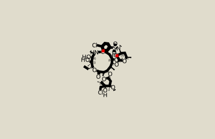 CC[C@H]1OC(=O)[C@H](C)[C@@H](O[C@H]2C[C@@](C)(OC)[C@](O)(CCl)[C@H](C)O2)[C@H](C)[C@@H](O[C@@H]2O[C@H](C)C[C@H](N(C)S(=O)(=O)c3ccc(Cl)cc3)[C@H]2O)[C@](C)(O)C[C@@H](C)CN[C@H](C)[C@@H](O)[C@]1(C)O